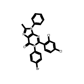 Cc1nc2c(=O)n(-c3ccc(Br)cc3)c(-c3ccc(Cl)cc3Cl)nc2n1-c1ccccc1